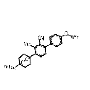 CCCCCCC12CCC(c3ccc(-c4ccc(OCCC)cc4)c(C#N)c3C#N)(CC1)CC2